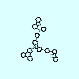 c1ccc(N(c2ccc(-c3ccc4c(c3)c3cc(-c5ccc(-c6cccc7c6oc6ccccc67)cc5)ccc3n4-c3ccc4c5ccccc5c5ccccc5c4c3)cc2)c2cccc3c2sc2ccccc23)cc1